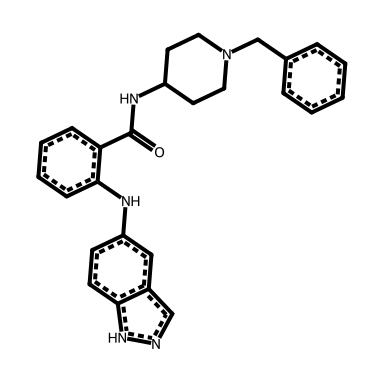 O=C(NC1CCN(Cc2ccccc2)CC1)c1ccccc1Nc1ccc2[nH]ncc2c1